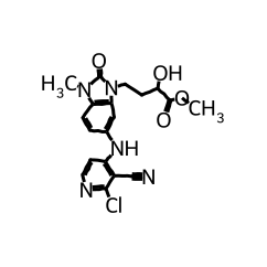 COC(=O)C(O)CCn1c(=O)n(C)c2ccc(Nc3ccnc(Cl)c3C#N)cc21